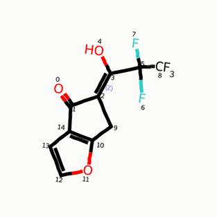 O=C1/C(=C(\O)C(F)(F)C(F)(F)F)Cc2occc21